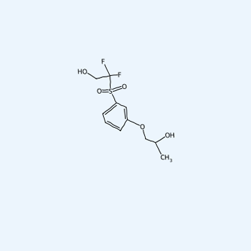 CC(O)COc1cccc(S(=O)(=O)C(F)(F)CO)c1